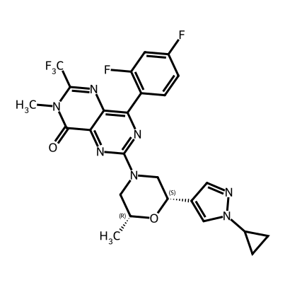 C[C@@H]1CN(c2nc(-c3ccc(F)cc3F)c3nc(C(F)(F)F)n(C)c(=O)c3n2)C[C@H](c2cnn(C3CC3)c2)O1